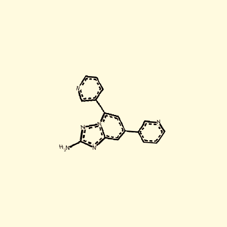 Nc1nc2cc(-c3cccnc3)cc(-c3cccnc3)n2n1